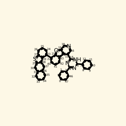 c1ccc(C2=NC(c3ccccc3)NC(c3cncc4oc5c(-c6cccc7sc8cc9ccccc9cc8c67)cccc5c34)=N2)cc1